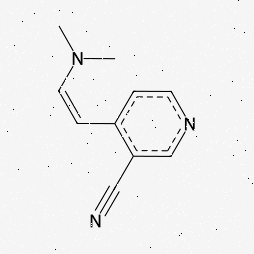 CN(C)/C=C\c1ccncc1C#N